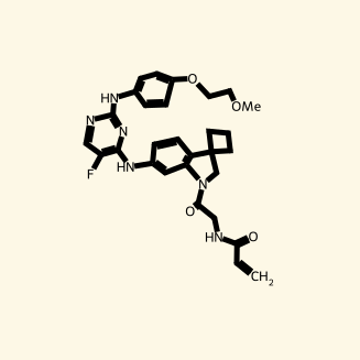 C=CC(=O)NCC(=O)N1CC2(CCC2)c2ccc(Nc3nc(Nc4ccc(OCCOC)cc4)ncc3F)cc21